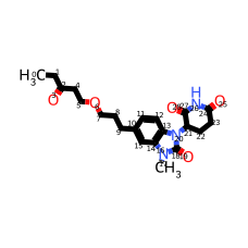 CCC(=O)CCOCCCc1ccc2c(c1)n(C)c(=O)n2C1CCC(=O)NC1=O